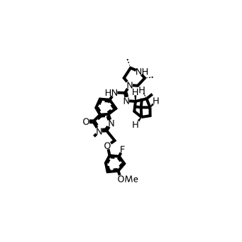 COc1ccc(OCc2nc3cc(NC(=N[C@H]4C[C@H]5C[C@@H]([C@@H]4C)C5(C)C)N4C[C@@H](C)N[C@@H](C)C4)ccc3c(=O)n2C)c(F)c1